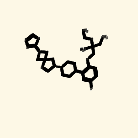 CCOC(C)(CC)COc1ccc(F)cc1C1CCN([C@@H]2COC3(C2)CN(c2nnco2)C3)CC1